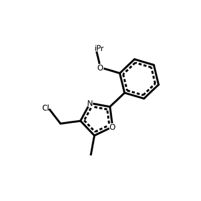 Cc1oc(-c2ccccc2OC(C)C)nc1CCl